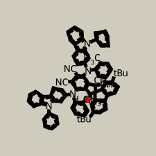 Cc1ccccc1N(c1ccc2c3ccccc3n(-c3ccccc3)c2c1)c1c(C#N)c(C#N)c(N(c2ccc3c4ccccc4n(-c4ccccc4)c3c2)c2ccccc2C)c2c1C(C)(C)C1(c3cc(C(C)(C)C)ccc3-c3ccc(C(C)(C)C)cc31)C2(C)C